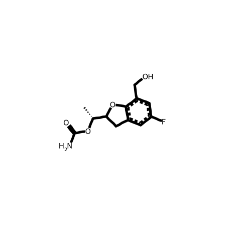 C[C@@H](OC(N)=O)C1Cc2cc(F)cc(CO)c2O1